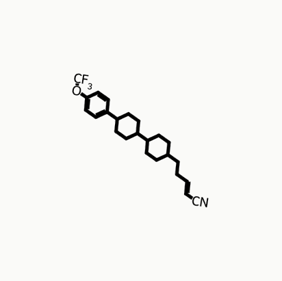 N#CC=CCCC1CCC(C2CCC(c3ccc(OC(F)(F)F)cc3)CC2)CC1